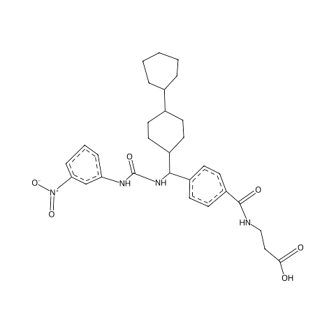 O=C(O)CCNC(=O)c1ccc(C(NC(=O)Nc2cccc([N+](=O)[O-])c2)C2CCC(C3CCCCC3)CC2)cc1